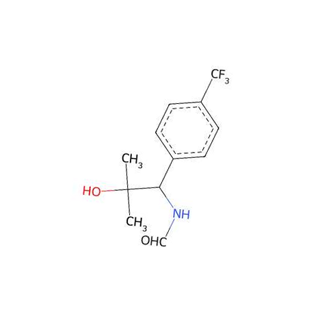 CC(C)(O)C(NC=O)c1ccc(C(F)(F)F)cc1